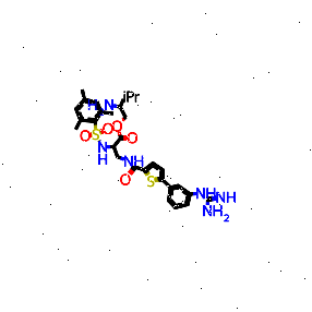 Cc1cc(C)c(S(=O)(=O)NC(CNC(=O)c2ccc(-c3cccc(NC(=N)N)c3)s2)C(=O)OCC(N)C(C)C)c(C)c1